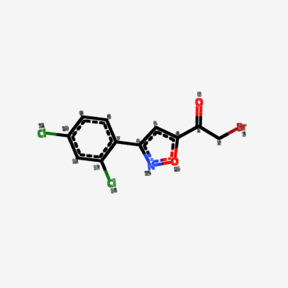 O=C(CBr)c1cc(-c2ccc(Cl)cc2Cl)no1